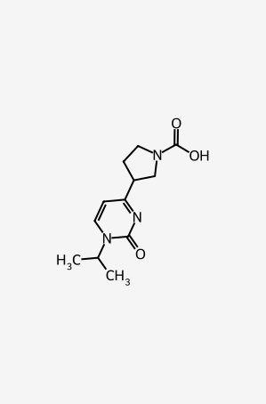 CC(C)n1ccc(C2CCN(C(=O)O)C2)nc1=O